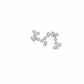 c1ccc(-c2ccc(N(c3ccc(-c4ccc(-c5cccc6ccccc56)c(-c5ccc(-c6ccc7c(-c8ccc(N(c9ccc(-c%10ccc(-c%11cccc%12ccccc%11%12)c(-c%11ccccc%11)c%10)cc9)c9ccccc9-c9ccccc9)cc8)cccc7c6)cc5)c4)cc3)c3cccc4ccccc34)cc2-c2ccccc2)cc1